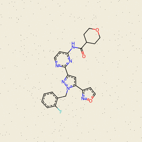 O=C(Nc1ccnc(-c2cc(-c3ccon3)n(Cc3ccccc3F)n2)n1)C1CCOCC1